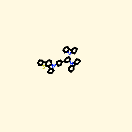 c1ccc2c(c1)sc1c2ccc2c1c1ccccc1n2-c1ccc(-c2cc(-n3c4ccccc4c4ccccc43)cc(-n3c4ccccc4c4ccccc43)c2)cc1